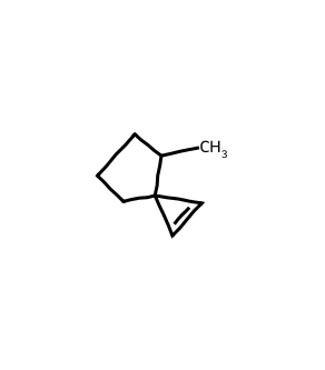 CC1CCCC12C=C2